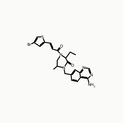 CCC1C(=O)N(Cc2ccc3c(N)ncnc3c2)C(C)CN1C(=O)C=Cc1cc(Br)cs1